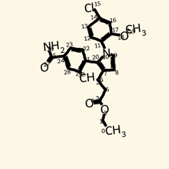 CCOC(=O)CCc1ccn(-c2ccc(Cl)cc2OC)c1-c1ccc(C(N)=O)cc1C